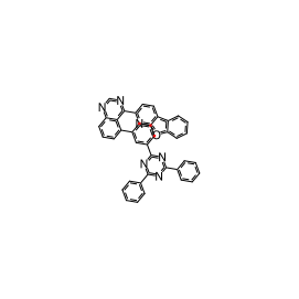 c1ccc(-c2nc(-c3ccccc3)nc(-c3cccc(-c4cccc5ncnc(-c6ccc7c(n6)oc6ccccc67)c45)c3)n2)cc1